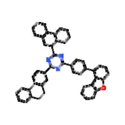 c1ccc2c(c1)CCc1cc(-c3nc(-c4ccc(-c5cccc6oc7ccccc7c56)cc4)nc(-c4cc5ccccc5c5ccccc45)n3)ccc1-2